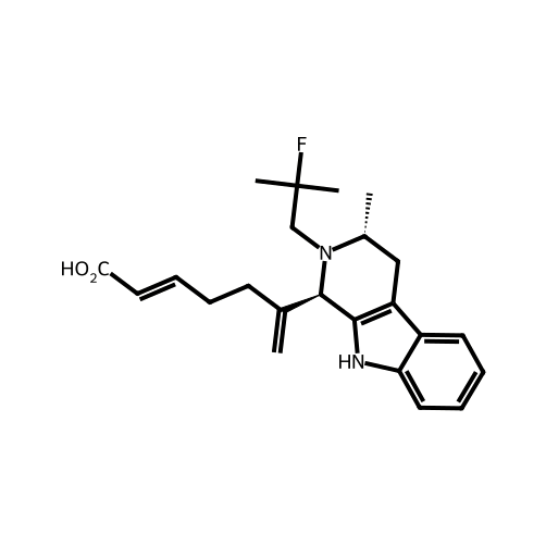 C=C(CC/C=C/C(=O)O)[C@@H]1c2[nH]c3ccccc3c2C[C@@H](C)N1CC(C)(C)F